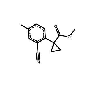 COC(=O)C1(c2ccc(F)cc2C#N)CC1